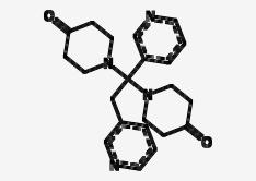 O=C1CCN(C(Cc2cccnc2)(c2cccnc2)N2CCC(=O)CC2)CC1